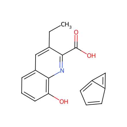 CCc1cc2cccc(O)c2nc1C(=O)O.c1cc2cc-2c1